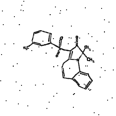 Cc1cccc(S(=O)(=O)C2=C3C=Cc4ccccc4N3C(C)(C)C2=O)c1